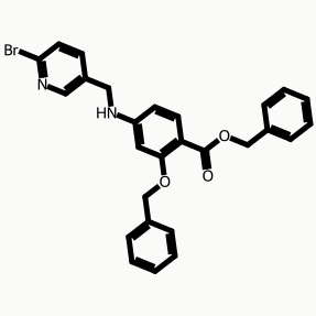 O=C(OCc1ccccc1)c1ccc(NCc2ccc(Br)nc2)cc1OCc1ccccc1